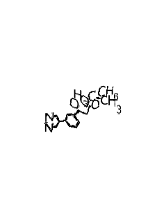 CC(C)(C)OC(=O)CC(=O)c1cccc(-c2cncnc2)c1